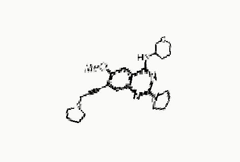 COc1cc2c(NC3CCCOC3)nc(N3CCCC3)nc2cc1C#CCN1CCCC1